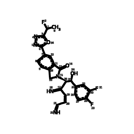 CC(F)c1nnc(-c2ccc3c(c2)C(=O)N([C@H](C(=N)/C=C\C=N)[C@@H](O)c2ccc(F)c(F)c2)C3)o1